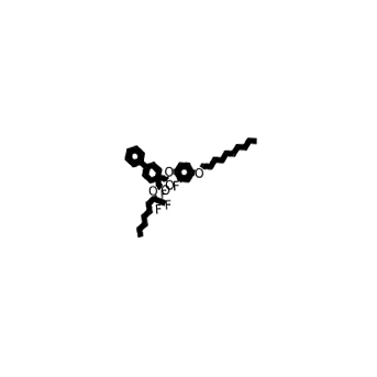 CCCCCCCCCCOc1ccc(OC(=O)C2(C(=O)OC(CCCCCC)C(F)(F)F)C=CC(c3ccccc3)=CC2)c(F)c1